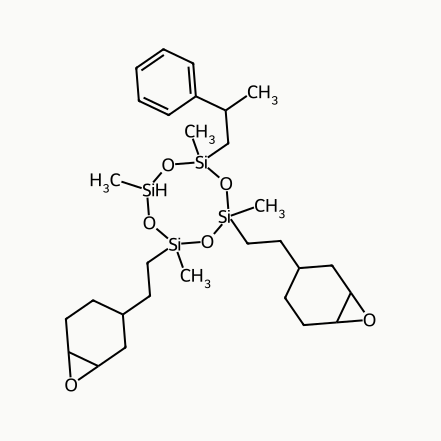 CC(C[Si]1(C)O[SiH](C)O[Si](C)(CCC2CCC3OC3C2)O[Si](C)(CCC2CCC3OC3C2)O1)c1ccccc1